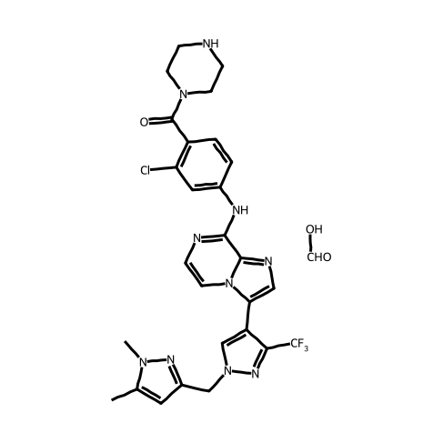 Cc1cc(Cn2cc(-c3cnc4c(Nc5ccc(C(=O)N6CCNCC6)c(Cl)c5)nccn34)c(C(F)(F)F)n2)nn1C.O=CO